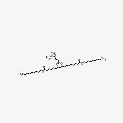 CCCCCCCCCOC(=O)CCCCCCCC(CCCCCCCC(=O)OCCCCCCCCC)OC(=O)CCCN(C)C